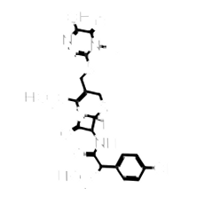 CCn1c(SCC2=C(C(=O)O)N3C(=O)C(NC(=O)C(C(=O)O)c4ccc(O)cc4)[C@H]3SC2)nnc(O)c1=O